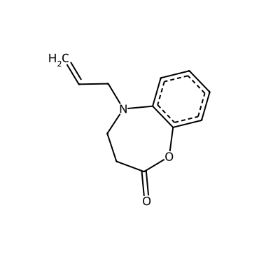 C=CCN1CCC(=O)Oc2ccccc21